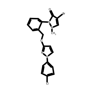 Cn1cc(Br)c(=O)n1-c1ccccc1COc1ccn(-c2ccc(Cl)cc2)n1